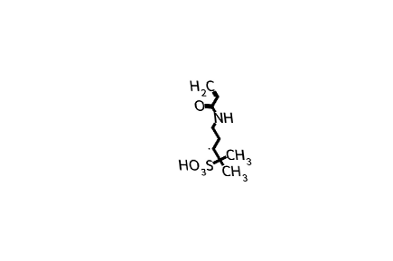 C=CC(=O)NCC[CH]C(C)(C)S(=O)(=O)O